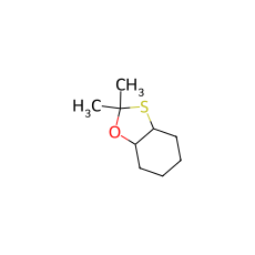 CC1(C)OC2CCCCC2S1